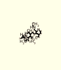 C=CNCc1nccc(C=C)c1CCC(=C(C)C)/C(C)=C(/N=C)NC1(C)CC1